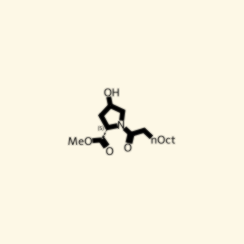 CCCCCCCCCC(=O)N1CC(O)C[C@H]1C(=O)OC